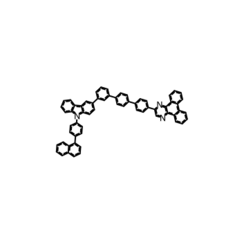 c1cc(-c2ccc(-c3ccc(-c4cnc5c6ccccc6c6ccccc6c5n4)cc3)cc2)cc(-c2ccc3c(c2)c2ccccc2n3-c2ccc(-c3cccc4ccccc34)cc2)c1